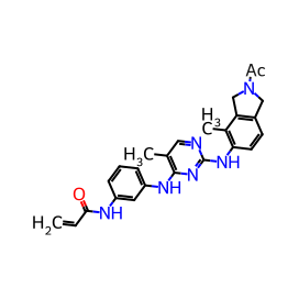 C=CC(=O)Nc1cccc(Nc2nc(Nc3ccc4c(c3C)CN(C(C)=O)C4)ncc2C)c1